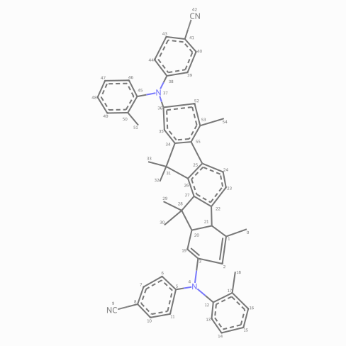 CC1=CC(N(c2ccc(C#N)cc2)c2ccccc2C)=CC2C1c1ccc3c(c1C2(C)C)C(C)(C)c1cc(N(c2ccc(C#N)cc2)c2ccccc2C)cc(C)c1-3